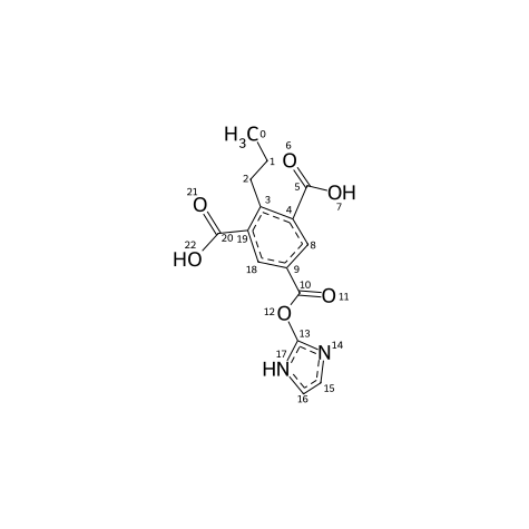 CCCc1c(C(=O)O)cc(C(=O)Oc2ncc[nH]2)cc1C(=O)O